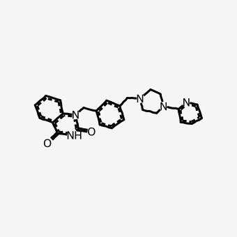 O=c1[nH]c(=O)n(Cc2cccc(CN3CCN(c4ccccn4)CC3)c2)c2ccccc12